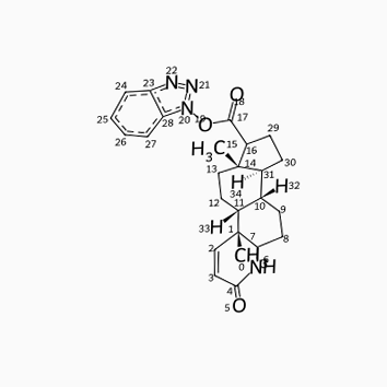 C[C@]12C=CC(=O)NC1CC[C@@H]1[C@H]2CC[C@]2(C)C(C(=O)On3nnc4ccccc43)CC[C@@H]12